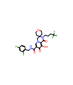 O=C(NCc1ccc(F)cc1F)c1cn2c(c(O)c1=O)C(=O)N(CCCC(F)(F)F)C1(CCOCC1)C2